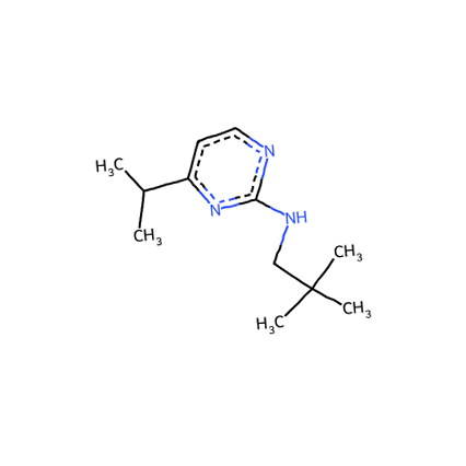 CC(C)c1ccnc(NCC(C)(C)C)n1